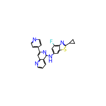 Fc1cc(Nc2nc(-c3ccncc3)cc3ncccc23)cc2sc(C3CC3)nc12